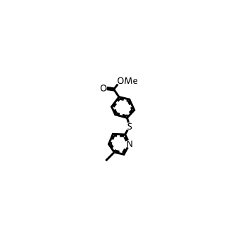 COC(=O)c1ccc(Sc2ccc(C)cn2)cc1